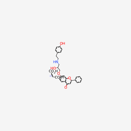 O=C(O)/C=C\C(=O)O.O=c1cc(-c2ccccc2)oc2cc(OCC(O)CNCCc3ccc(O)cc3)ccc12